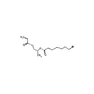 C=CC(=O)OCC(C)OC(=O)CCCCCCBr